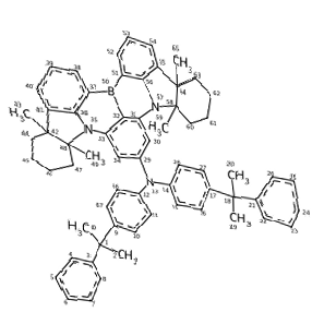 CC(C)(c1ccccc1)c1ccc(N(c2ccc(C(C)(C)c3ccccc3)cc2)c2cc3c4c(c2)N2c5c(cccc5C5(C)CCCCC25C)B4c2cccc4c2N3C2(C)CCCCC42C)cc1